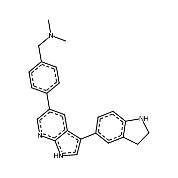 CN(C)Cc1ccc(-c2cnc3[nH]cc(-c4ccc5c(c4)CCN5)c3c2)cc1